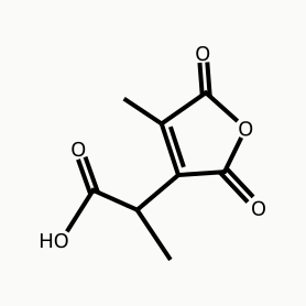 CC1=C(C(C)C(=O)O)C(=O)OC1=O